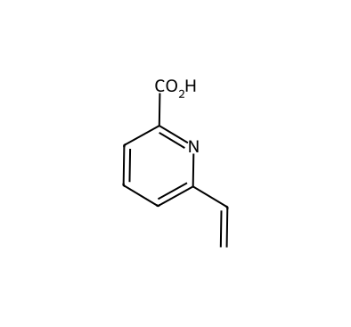 C=Cc1cccc(C(=O)O)n1